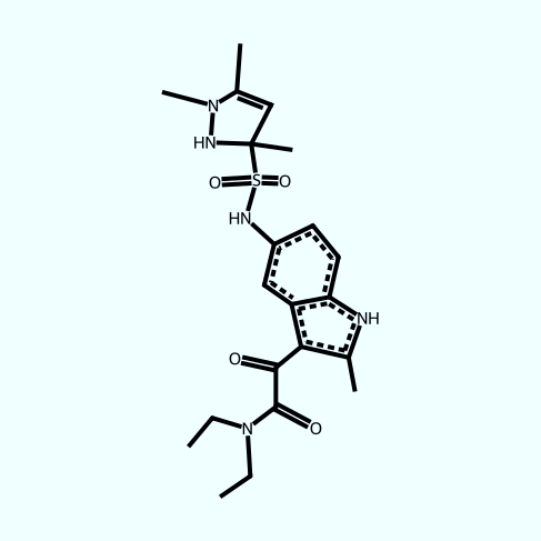 CCN(CC)C(=O)C(=O)c1c(C)[nH]c2ccc(NS(=O)(=O)C3(C)C=C(C)N(C)N3)cc12